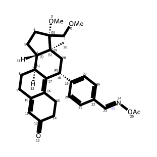 COC[C@]1(OC)CC[C@H]2[C@@H]3CCC4=CC(=O)CCC4=C3[C@@H](c3ccc(/C=N/OC(C)=O)cc3)C[C@@]21C